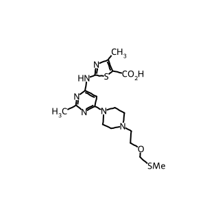 CSCOCCN1CCN(c2cc(Nc3nc(C)c(C(=O)O)s3)nc(C)n2)CC1